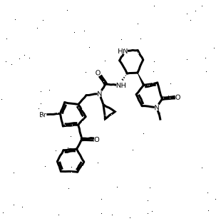 Cn1ccc([C@@H]2CCNC[C@H]2NC(=O)N(Cc2cc(Br)cc(C(=O)c3ccccc3)c2)C2CC2)cc1=O